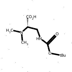 CN(C)[C@@H](CNC(=O)OC(C)(C)C)C(=O)O